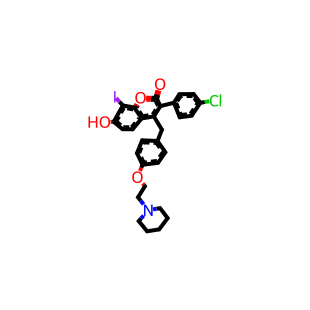 O=c1oc2c(I)c(O)ccc2c(Cc2ccc(OCCN3CCCCC3)cc2)c1-c1ccc(Cl)cc1